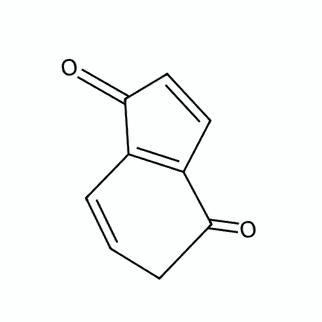 O=C1C=CC2=C1C=CCC2=O